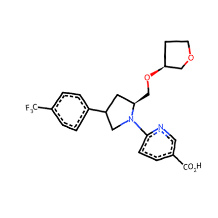 O=C(O)c1ccc(N2CC(c3ccc(C(F)(F)F)cc3)C[C@H]2CO[C@H]2CCOC2)nc1